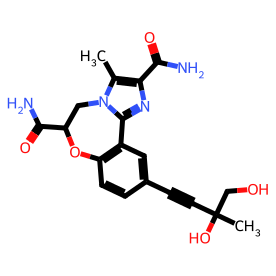 Cc1c(C(N)=O)nc2n1CC(C(N)=O)Oc1ccc(C#CC(C)(O)CO)cc1-2